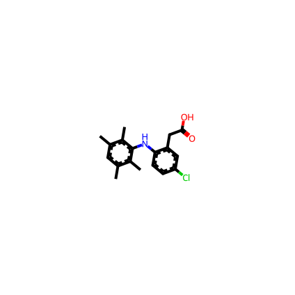 Cc1cc(C)c(C)c(Nc2ccc(Cl)cc2CC(=O)O)c1C